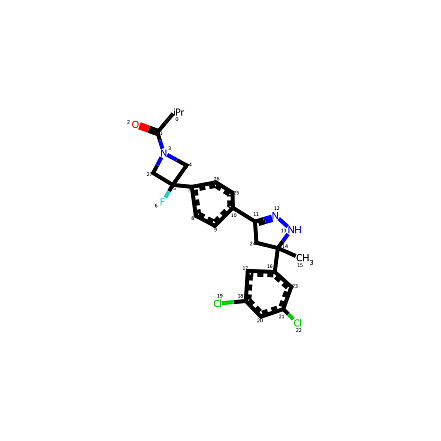 CC(C)C(=O)N1CC(F)(c2ccc(C3=NNC(C)(c4cc(Cl)cc(Cl)c4)C3)cc2)C1